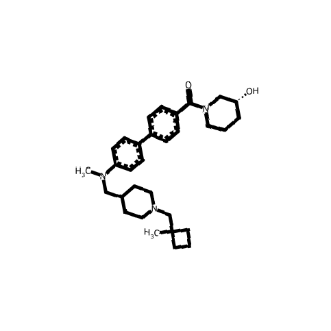 CN(CC1CCN(CC2(C)CCC2)CC1)c1ccc(-c2ccc(C(=O)N3CCC[C@@H](O)C3)cc2)cc1